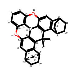 CC1(C)c2c3c(cc4c2C2CCC4CC2)Oc2cccc4c2B3c2c(cc3c(c21)C1CCC3CC1)O4